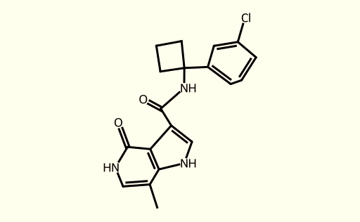 Cc1c[nH]c(=O)c2c(C(=O)NC3(c4cccc(Cl)c4)CCC3)c[nH]c12